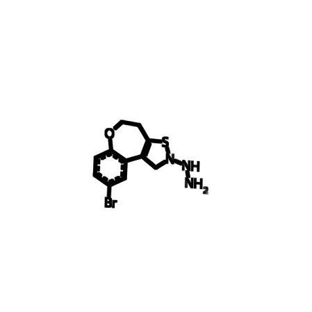 NNN1CC2=C(CCOc3ccc(Br)cc32)S1